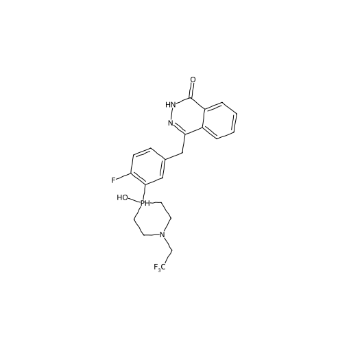 O=c1[nH]nc(Cc2ccc(F)c([PH]3(O)CCN(CC(F)(F)F)CC3)c2)c2ccccc12